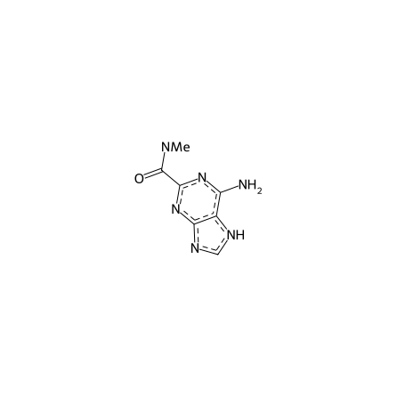 CNC(=O)c1nc(N)c2[nH]cnc2n1